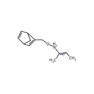 C/C=C(\C)[SiH2]OCC1=CC2C=CC1C2